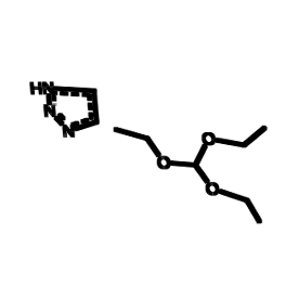 CCOC(OCC)OCC.c1c[nH]nn1